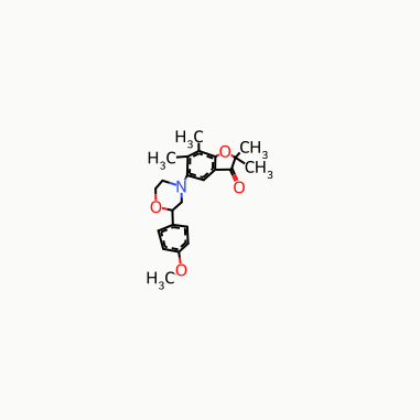 COc1ccc(C2CN(c3cc4c(c(C)c3C)OC(C)(C)C4=O)CCO2)cc1